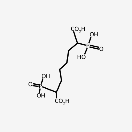 O=C(O)C(CCCCC(C(=O)O)P(=O)(O)O)P(=O)(O)O